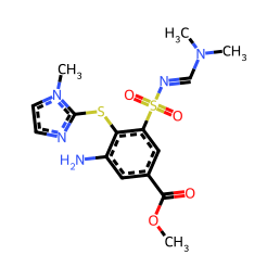 COC(=O)c1cc(N)c(Sc2nccn2C)c(S(=O)(=O)/N=C/N(C)C)c1